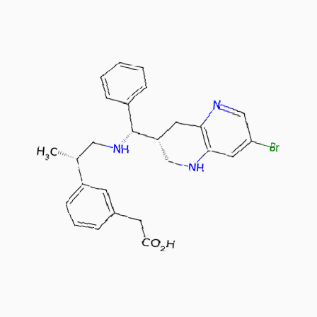 C[C@H](CN[C@H](c1ccccc1)[C@H]1CNc2cc(Br)cnc2C1)c1cccc(CC(=O)O)c1